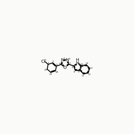 ClC1C=C(c2nnc(-c3cc4ccccc4[nH]3)o2)C=CC1